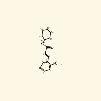 Cc1ccccc1C=CC(=O)OC1CCCCC1